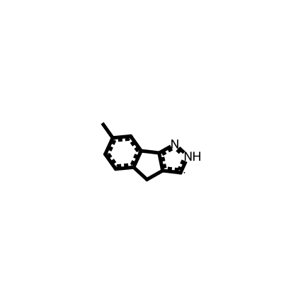 Cc1ccc2c(c1)-c1n[nH][c]c1C2